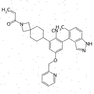 C=CC(=O)N1CC2(CCC(c3cc(OCc4ccccn4)cc(-c4c(C)ccc5[nH]ncc45)c3C#N)CC2)C1